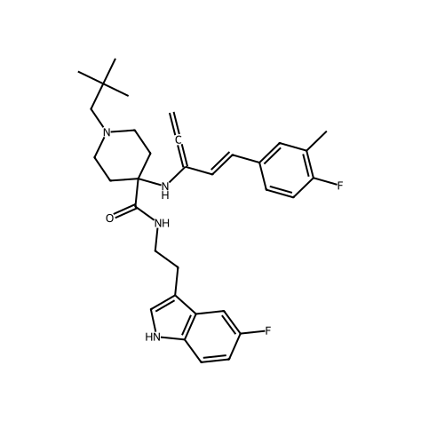 C=C=C(/C=C/c1ccc(F)c(C)c1)NC1(C(=O)NCCc2c[nH]c3ccc(F)cc23)CCN(CC(C)(C)C)CC1